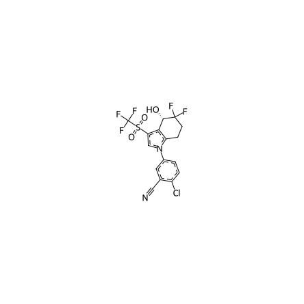 N#Cc1cc(-n2cc(S(=O)(=O)C(F)(F)F)c3c2CCC(F)(F)[C@H]3O)ccc1Cl